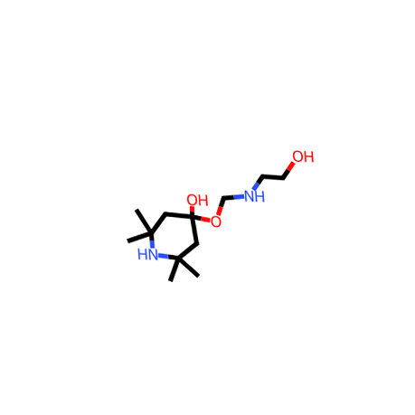 CC1(C)CC(O)(OCNCCO)CC(C)(C)N1